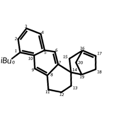 CCC(C)c1cccc2cc3c(cc12)CCCC31CC2=CCC1C2